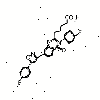 O=C(O)CCCCc1nc2cc(-c3cc(-c4ccc(F)cc4)on3)ccc2c(=O)n1-c1ccc(F)cc1